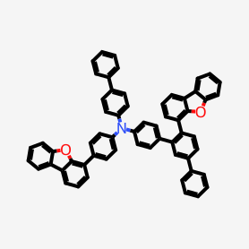 c1ccc(-c2ccc(N(c3ccc(-c4cc(-c5ccccc5)ccc4-c4cccc5c4oc4ccccc45)cc3)c3ccc(-c4cccc5c4oc4ccccc45)cc3)cc2)cc1